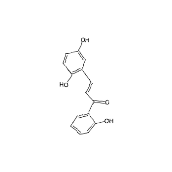 O=C(/C=C/c1cc(O)ccc1O)c1ccccc1O